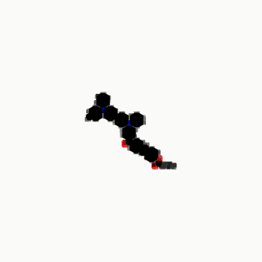 COC(=O)Oc1ccc(C(C)(C)c2ccc(C(=O)c3ccc(N(c4ccccc4)c4ccc(-c5ccc(N(c6ccccc6)c6ccc(C)cc6)cc5)cc4)cc3)cc2)cc1